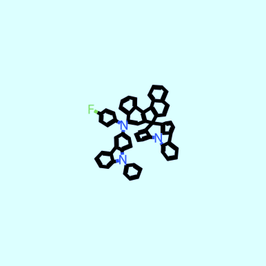 Fc1ccc(N(c2ccc3c(c2)c2ccccc2n3-c2ccccc2)c2cc3c(c4ccccc24)-c2c(ccc4ccccc24)C32c3ccccc3-n3c4ccccc4c4cccc2c43)cc1